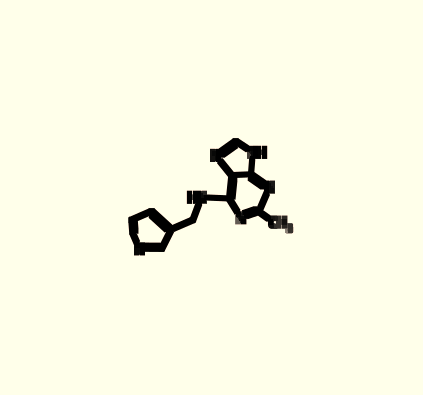 Cc1nc(NCc2cccnc2)c2nc[nH]c2n1